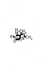 C=C(N)/N=C(/C)c1ccc(=O)n(CC)c1N